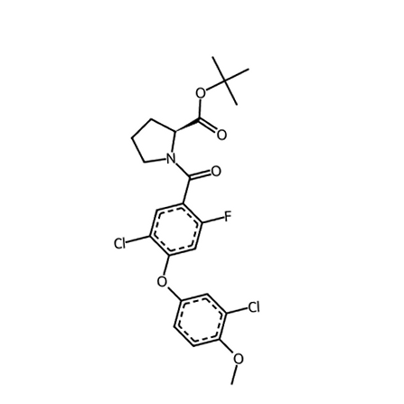 COc1ccc(Oc2cc(F)c(C(=O)N3CCC[C@H]3C(=O)OC(C)(C)C)cc2Cl)cc1Cl